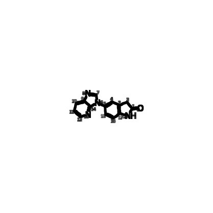 O=C1Cc2cc(-n3cnc4cccnc43)ccc2N1